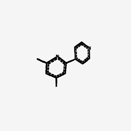 Cc1cc(C)nc(-c2ccncc2)c1